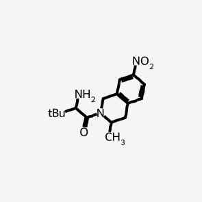 CC1Cc2ccc([N+](=O)[O-])cc2CN1C(=O)C(N)C(C)(C)C